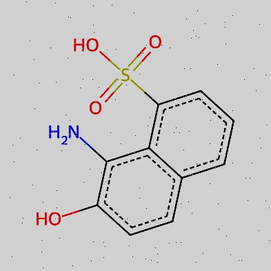 Nc1c(O)ccc2cccc(S(=O)(=O)O)c12